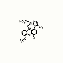 O=C(O)C[C@H]1O[C@H](c2cccc(OC(F)(F)F)c2Cl)c2cc(Cl)ccc2-n2c1nnc2C(F)(F)F